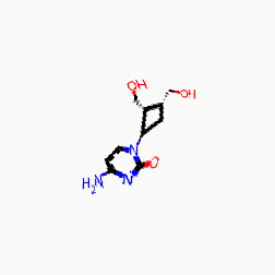 Nc1ccn([C@@H]2C[C@@H](CO)[C@H]2CO)c(=O)n1